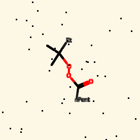 CCCCCC(=O)OOC(C)(C)CC